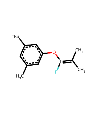 C[C](C)=[Ti]([F])[O]c1cc(C)cc(C(C)(C)C)c1